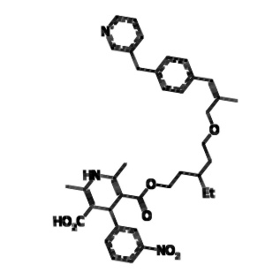 CCC(CCOCC(C)=Cc1ccc(Cc2cccnc2)cc1)CCOC(=O)C1=C(C)NC(C)=C(C(=O)O)C1c1cccc([N+](=O)[O-])c1